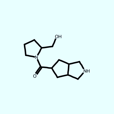 O=C(C1CC2CNCC2C1)N1CCCC1CO